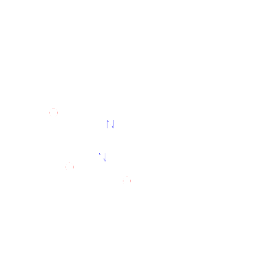 O=[C]N(c1ccccc1)[N+](=O)[O-]